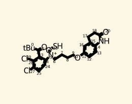 CC(C)(C)C(=O)c1c([N+](=CCCCOc2ccc3c(c2)CCC(=O)N3)OS)ccc(Cl)c1Cl